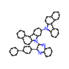 c1ccc(-c2ccc(-c3nc4ccccc4nc3-n3c4cc(-n5c6ccccc6c6c7ccccc7ccc65)ccc4c4c5ccccc5ccc43)cc2)cc1